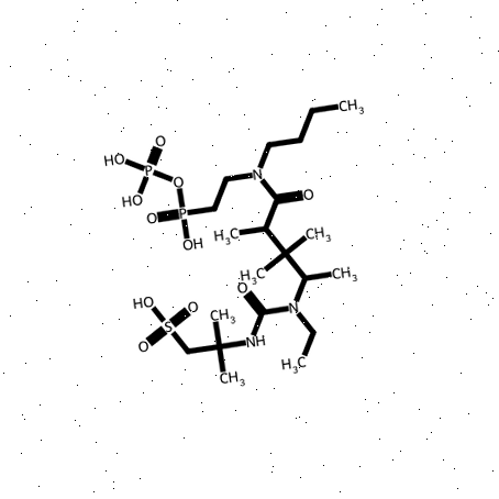 CCCCN(CCP(=O)(O)OP(=O)(O)O)C(=O)C(C)C(C)(C)C(C)N(CC)C(=O)NC(C)(C)CS(=O)(=O)O